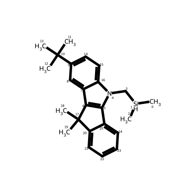 C[SiH](C)Cn1c2c(c3cc(C(C)(C)C)ccc31)C(C)(C)c1ccccc1-2